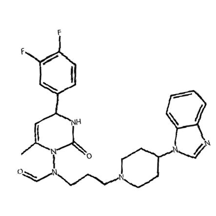 CC1=CC(c2ccc(F)c(F)c2)NC(=O)N1N(C=O)CCCN1CCC(n2cnc3ccccc32)CC1